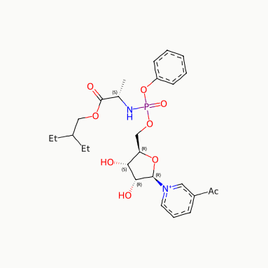 CCC(CC)COC(=O)[C@H](C)NP(=O)(OC[C@H]1O[C@@H]([n+]2cccc(C(C)=O)c2)[C@H](O)[C@@H]1O)Oc1ccccc1